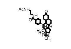 CC(=O)NCCNC(=O)c1ccc([C@H]2C[C@@]3(C)[C@@H](CC[C@@]3(O)C(F)(F)C(F)(F)F)[C@@H]3CCC4=CC(=O)CCC4=C32)cc1